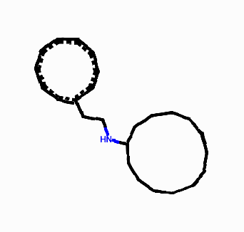 c1ccccc(CCNC2CCCCCCCCCCCC2)cccc1